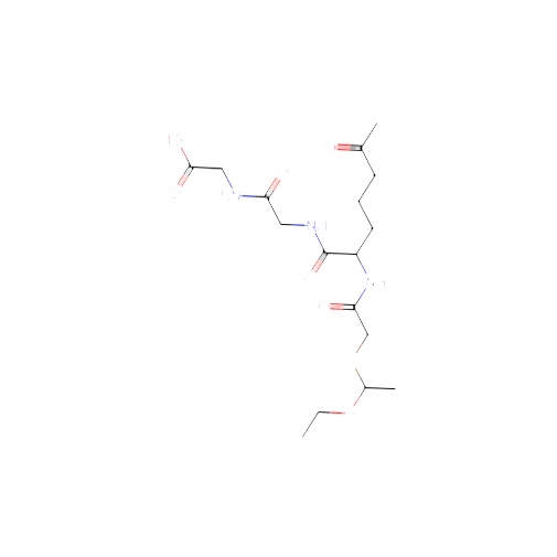 CCOC(C)SCC(=O)NC(CCCC(C)=O)C(=O)NCC(=O)NCC(=O)O